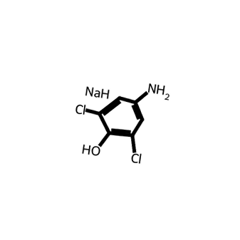 Nc1cc(Cl)c(O)c(Cl)c1.[NaH]